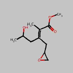 COC(=O)C(C)=C(CC(C)O)CC1CO1